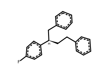 Fc1ccc([C@H](CCc2ccccc2)Cc2ccccc2)cc1